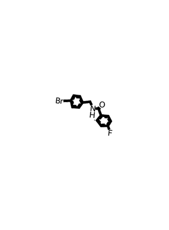 O=C(NCc1ccc(Br)cc1)c1[c]cc(F)cc1